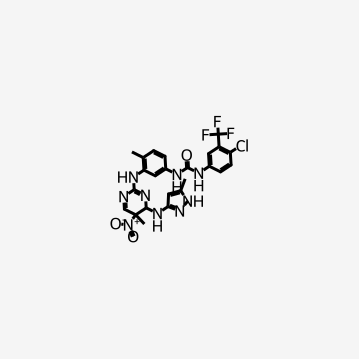 Cc1cc(NC2N=C(Nc3cc(NC(=O)Nc4ccc(Cl)c(C(F)(F)F)c4)ccc3C)N=CC2(C)[N+](=O)[O-])n[nH]1